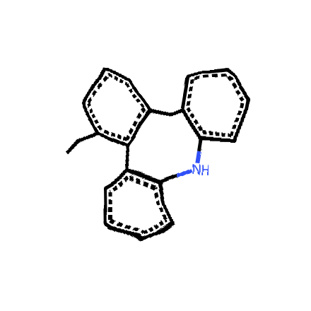 Cc1cccc2c1-c1ccccc1Nc1ccccc1-2